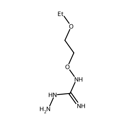 CCOCCONC(=N)NN